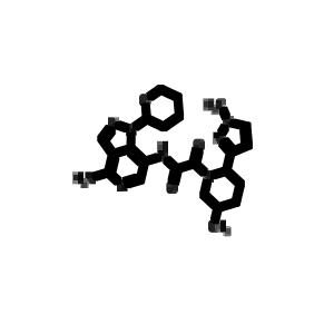 CC1CCC(c2ccn(C)n2)N(C(=O)C(=O)Nc2cnc(N)c3cnn(C4CCCCO4)c23)C1